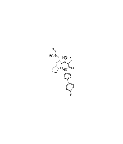 O=CN(O)C[C@@H](CC1CCCC1)C(=O)N1NCC[C@H]1C(=O)Nc1ccc(-c2ccc(F)cc2)cn1